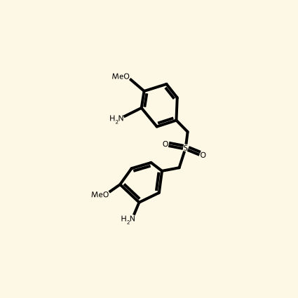 COc1ccc(CS(=O)(=O)Cc2ccc(OC)c(N)c2)cc1N